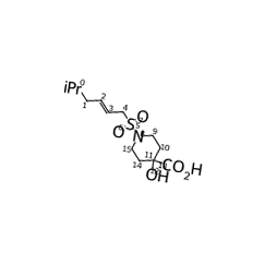 CC(C)CC=CCS(=O)(=O)N1CCC(O)(C(=O)O)CC1